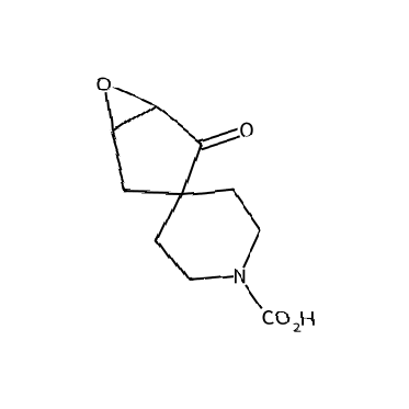 O=C(O)N1CCC2(CC1)CC1OC1C2=O